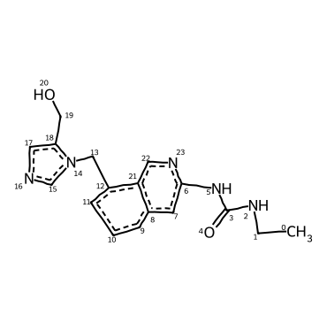 CCNC(=O)Nc1cc2cccc(Cn3cncc3CO)c2cn1